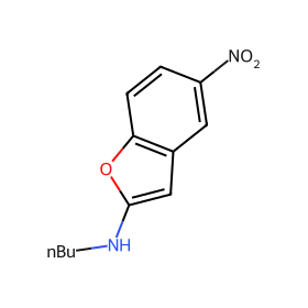 CCCCNc1cc2cc([N+](=O)[O-])ccc2o1